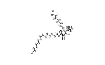 CCCCCCCC/C=C\CCCCCCCC(=O)NC(C)C(CCCCCCCCCC)C(N)=O